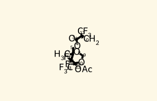 C=C(C(=O)OCC1(C)OCOC(OC(C)=O)(C(F)(F)F)C1(F)F)C(F)(F)F